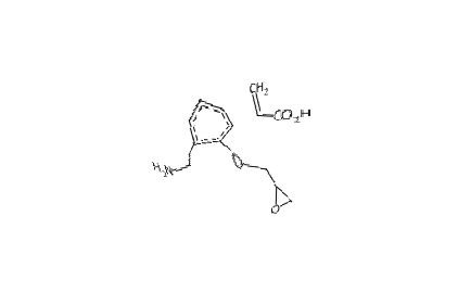 C=CC(=O)O.NCc1ccccc1OCC1CO1